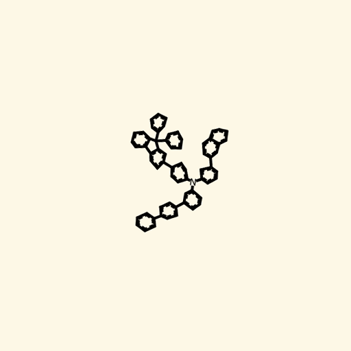 c1ccc(-c2ccc(-c3cccc(N(c4ccc(-c5ccc6c(c5)C(c5ccccc5)(c5ccccc5)c5ccccc5-6)cc4)c4cccc(-c5ccc6ccccc6c5)c4)c3)cc2)cc1